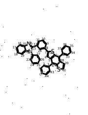 c1ccc(-c2c3cc(-c4cccc(-c5nc6ccccc6n5-c5ccccc5)c4)sc3c(-c3ccccc3)c3ccsc23)cc1